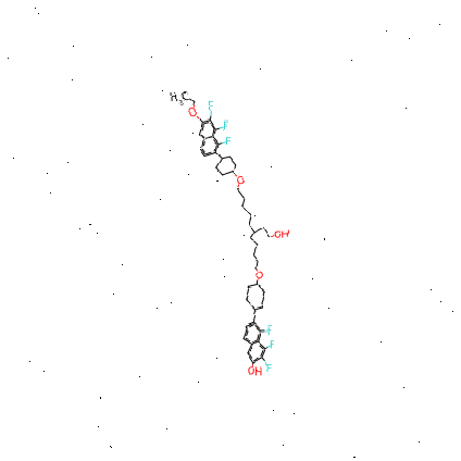 CCOc1cc2ccc(C3CCC(OCCCCCC(CCO)CCCCCOC4CCC(c5ccc6cc(O)c(F)c(F)c6c5F)CC4)CC3)c(F)c2c(F)c1F